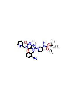 Cn1c(=O)n(Cc2ccccn2)c(=O)c2c1nc(N1CCCC(NC(=O)OC(C)(C)C)C1)n2Cc1ccccc1C#N